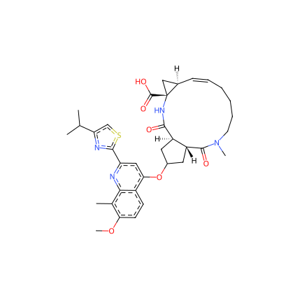 COc1ccc2c(OC3C[C@H]4C(=O)N[C@]5(C(=O)O)C[C@H]5/C=C\CCCCN(C)C(=O)[C@@H]4C3)cc(-c3nc(C(C)C)cs3)nc2c1C